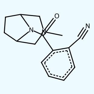 CN1CC2CCC(C1)N2C(=O)c1ccccc1C#N